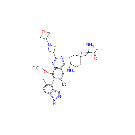 C=CC(=O)C1(N)CC2(CCC(N)(c3nc(C4CN(C5COC5)C4)nc4c(OCC(F)(F)F)c(-c5c(C)ccc6[nH]ncc56)c(CC)cc34)CC2)C1